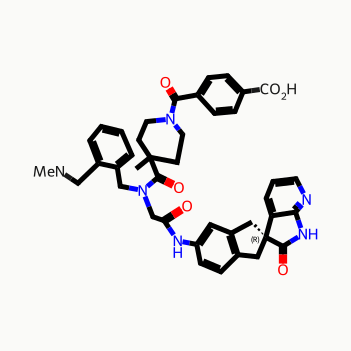 CNCc1ccccc1CN(CC(=O)Nc1ccc2c(c1)C[C@@]1(C2)C(=O)Nc2ncccc21)C(=O)C1(C)CCN(C(=O)c2ccc(C(=O)O)cc2)CC1